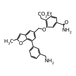 CCOC(=O)Cc1ccc(C(N)=O)cc1OCc1cc(-c2cccc(CN)c2)c2oc(C)cc2c1